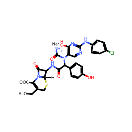 CC(=O)OCC1=C(C(=O)[O-])N2C(=O)C(NC(=O)C(c3ccc(O)cc3)N(C(N)=O)c3cnc(Nc4ccc(Cl)cc4)nc3O)[C@@H]2SC1.[Na+]